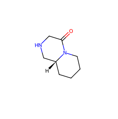 O=C1CNC[C@H]2CCCCN12